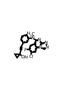 CN(c1cccc(C#CC2(O)CC2)c1)c1nc2nncn2c2cc(Cl)c(F)cc12